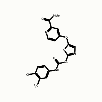 CNC(=O)c1cc(Oc2cnc(NC(=O)Nc3ccc(Cl)c(C(F)(F)F)c3)s2)ccn1